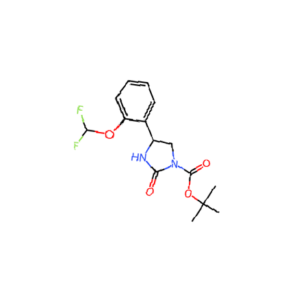 CC(C)(C)OC(=O)N1CC(c2ccccc2OC(F)F)NC1=O